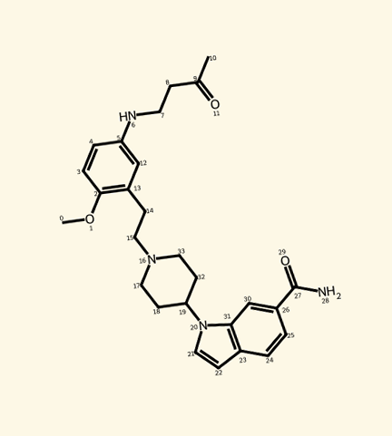 COc1ccc(NCCC(C)=O)cc1CCN1CCC(n2ccc3ccc(C(N)=O)cc32)CC1